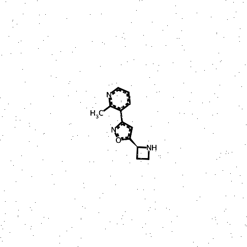 Cc1ncccc1-c1cc([C@@H]2CCN2)on1